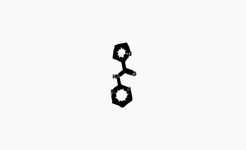 O=C(Nc1ncccn1)c1ccco1